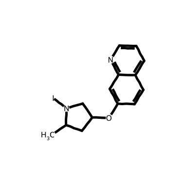 CC1CC(Oc2ccc3cccnc3c2)CN1I